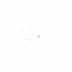 COC(=O)[C@@H](NI)C(C)C